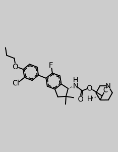 CCCOc1ccc(-c2cc3c(cc2F)[C@H](NC(=O)O[C@H]2CN4CCC2CC4)C(C)(C)C3)cc1Cl